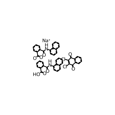 O=C(O)c1ccccc1C(=O)Nc1cccc2ccccc12.O=C([O-])c1ccccc1C(=O)Nc1cccc2ccccc12.O=C1C(Cl)=C(Cl)C(=O)c2ccccc21.[Na+]